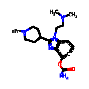 CCCN1CCC(c2nc3c(OC(N)=O)cccc3n2CCN(C)C)CC1